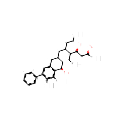 CCCC(CC1CC(=O)c2c(cc(-c3ccccc3)c(C)c2C)C1)C(CC)C(=O)CC(C)=O